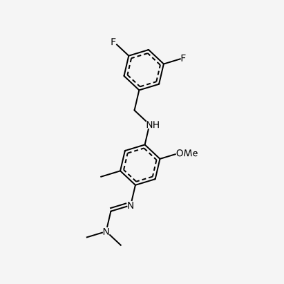 COc1cc(N=CN(C)C)c(C)cc1NCc1cc(F)cc(F)c1